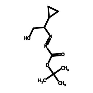 CC(C)(C)OC(=O)N=NC(CO)C1CC1